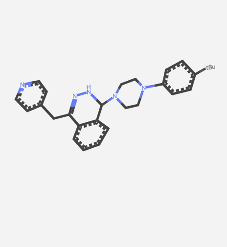 CC(C)(C)c1ccc(N2CCN(C3NN=C(Cc4ccncc4)c4ccccc43)CC2)cc1